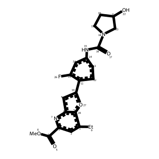 CCc1cc(C(=O)OC)nc2cc(-c3ccc(NC(=O)N4CCC(O)C4)cc3F)oc12